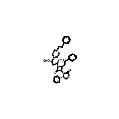 O=C[C@H](CC(C(=O)O)N1C(=O)C(N2C(=O)OC[C@@H]2c2ccccc2)C1C=Cc1ccccc1)N1CCN(CCc2ccccc2)CC1